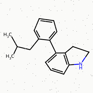 CC(C)Cc1ccccc1-c1cccc2c1CCN2